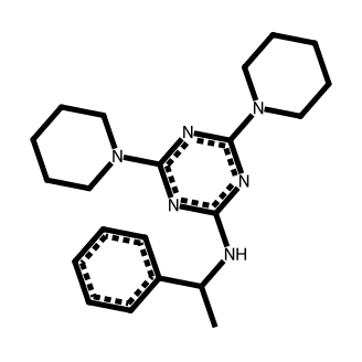 CC(Nc1nc(N2CCCCC2)nc(N2CCCCC2)n1)c1ccccc1